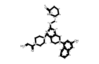 C=CC(=O)N1CCN(c2nc(OC[C@H]3CCCC(=O)N3)nc3c2CCN(c2cc(O)cc4ccccc24)C3)CC1